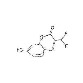 O=c1oc2cc(O)ccc2cc1C(F)F